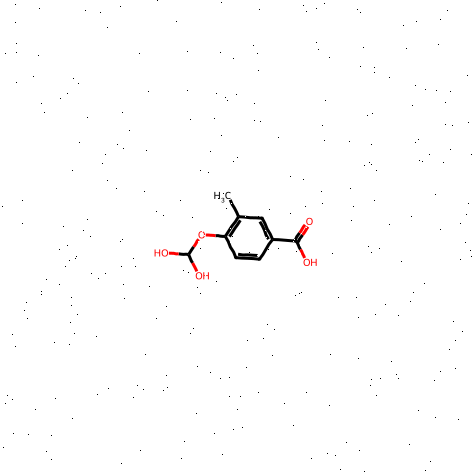 Cc1cc(C(=O)O)ccc1OC(O)O